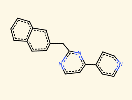 c1ccc2cc(Cc3nccc(-c4ccncc4)n3)ccc2c1